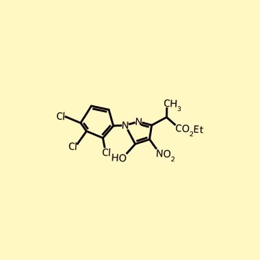 CCOC(=O)C(C)c1nn(-c2ccc(Cl)c(Cl)c2Cl)c(O)c1[N+](=O)[O-]